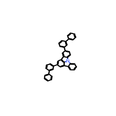 c1ccc(-c2cccc(-c3ccc4c(c3)c3cc(-c5cccc(-c6ccccc6)c5)cc5c6ccccc6n4c53)c2)cc1